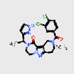 CC(c1cc[nH]n1)N1CCn2nc3c(c2C1=O)CN(C(=O)c1ccc(Cl)c(Cl)c1)[C@H](C)C3